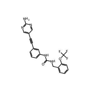 Nc1ncc(C#Cc2cccc(NC(=O)NCc3ccccc3OC(F)(F)F)c2)cn1